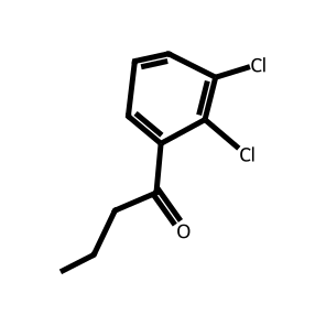 CCCC(=O)c1cccc(Cl)c1Cl